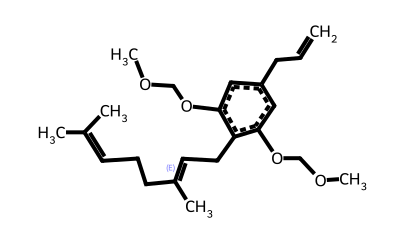 C=CCc1cc(OCOC)c(C/C=C(\C)CCC=C(C)C)c(OCOC)c1